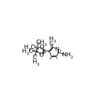 Cc1nc(N)ccc1B1OC(C)(C)C(C)(C)O1